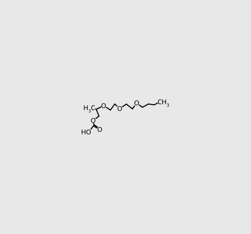 CCCCOCCOCCOC(C)COC(=O)O